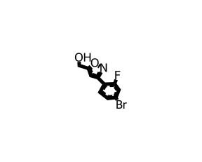 OCc1cc(-c2ccc(Br)cc2F)no1